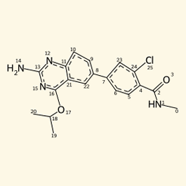 CNC(=O)c1ccc(-c2ccc3nc(N)nc(OC(C)C)c3c2)cc1Cl